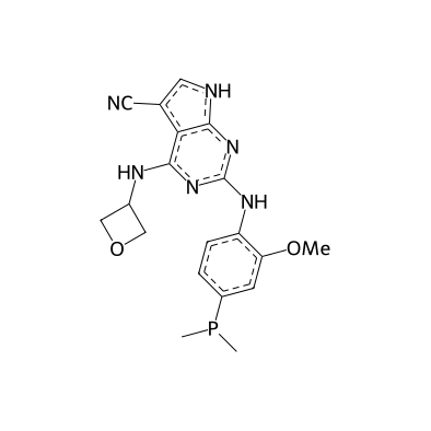 COc1cc(P(C)C)ccc1Nc1nc(NC2COC2)c2c(C#N)c[nH]c2n1